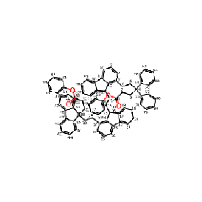 O=C(CCC1(CCc2cccc3c2C(CCC2c4ccccc4-c4cccc(CCC5(CCC(=O)Oc6ccccc6)c6ccccc6-c6ccccc65)c42)c2ccccc2-3)c2ccccc2-c2ccccc21)Oc1ccccc1